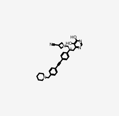 N#CC1CN(C[C@@H](Cc2ncnc(O)c2O)c2ccc(C#Cc3ccc(CN4CCCCC4)cc3)cc2)C1